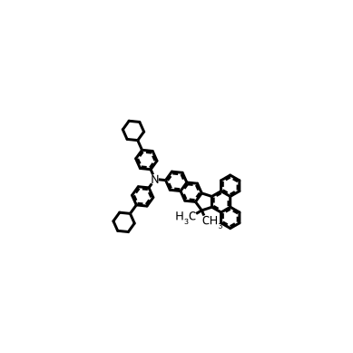 CC1(C)c2cc3cc(N(c4ccc(C5CCCCC5)cc4)c4ccc(C5CCCCC5)cc4)ccc3cc2-c2c1c1ccccc1c1ccccc21